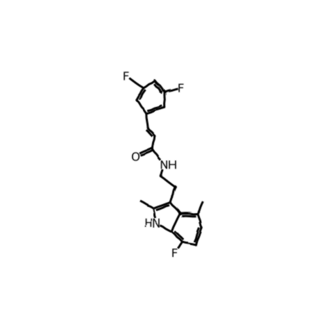 Cc1[nH]c2c(F)ccc(C)c2c1CCNC(=O)C=Cc1cc(F)cc(F)c1